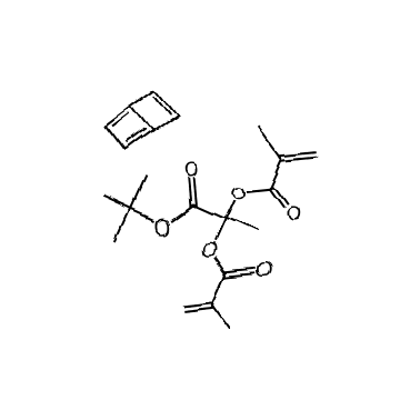 C=C(C)C(=O)OC(C)(OC(=O)C(=C)C)C(=O)OC(C)(C)C.c1cc2ccc1-2